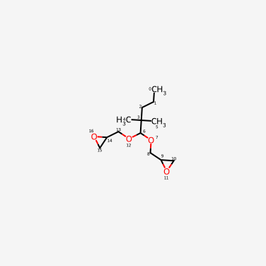 CCCC(C)(C)C(OCC1CO1)OCC1CO1